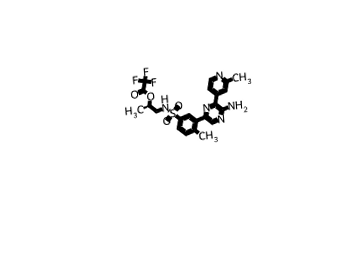 Cc1cc(-c2nc(-c3cc(S(=O)(=O)NC[C@@H](C)OC(=O)C(F)(F)F)ccc3C)cnc2N)ccn1